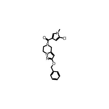 Cn1cc(C(=O)N2CCn3nc(OCc4ccccc4)cc3C2)cc1Cl